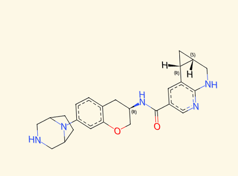 O=C(N[C@H]1COc2cc(N3C4CCC3CNC4)ccc2C1)c1cnc2c(c1)[C@@H]1C[C@@H]1CN2